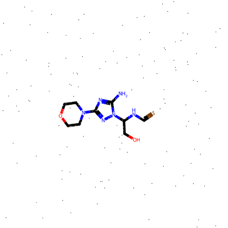 Nc1nc(N2CCOCC2)nn1C(CO)NC=S